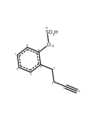 C#CCCc1ccccc1OS(=O)(=O)O